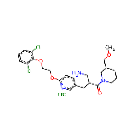 COCC1CCCN(C(=O)C(CN)Cc2ccc(OCCOc3c(Cl)cccc3Cl)nc2)C1.Cl